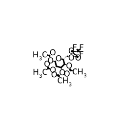 CC(=O)O[C@H]1O[C@H](COS(=O)(=O)C(F)(F)F)[C@@H](OC(C)=O)[C@H](OC(C)=O)[C@H]1OC(C)=O